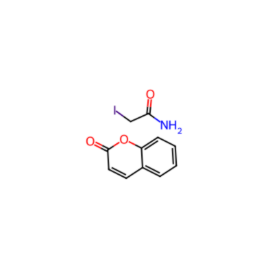 NC(=O)CI.O=c1ccc2ccccc2o1